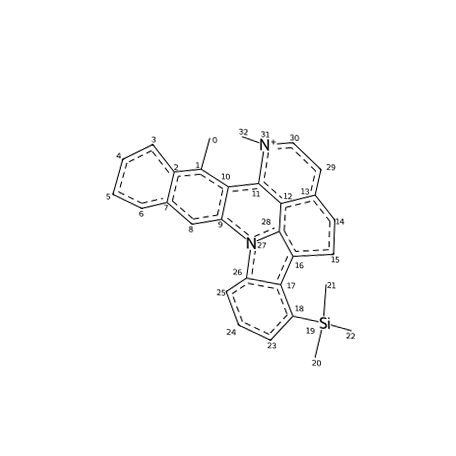 Cc1c2ccccc2cc2c1c1c3c(ccc4c5c([Si](C)(C)C)cccc5n2c43)cc[n+]1C